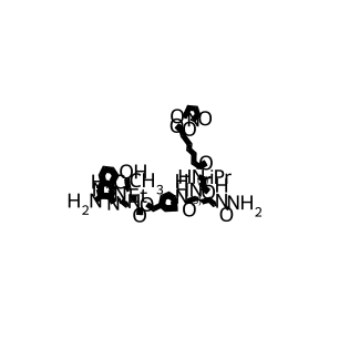 CCN(Cc1nc2c(N)nc3ccccc3c2n1CC(C)(C)O)C(=O)OCc1ccc(NC(=O)[C@H](CCCNC(N)=O)NC(=O)[C@@H](NC(=O)CCCCCC(=O)ON2C(=O)CCC2=O)C(C)C)cc1